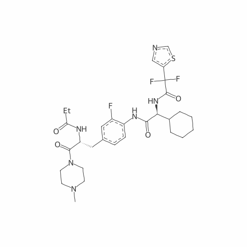 CCC(=O)N[C@H](Cc1ccc(NC(=O)[C@@H](NC(=O)C(F)(F)c2cncs2)C2CCCCC2)c(F)c1)C(=O)N1CCN(C)CC1